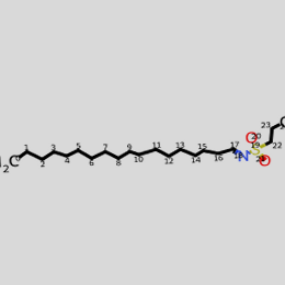 [CH2]CCCCCCCCCCCCCCCCC=NS(=O)(=O)CCC